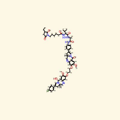 CCC1CC(=O)N(CCCCCC(=O)N[C@H](C(=O)N[C@@H](C)C(=O)Nc2ccc(C3=CN4C(=O)c5cc(OC)c(OCCCOc6cc7c(cc6OC)C(O)N6C=C(c8ccc(F)cc8)C[C@H]6C=N7)cc5N=C[C@@H]4C3)cc2)C(C)C)C1=O